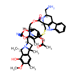 COc1c(C)cc2c(c1O)[C@H](C)N1[C@@H]([C@H](C#N)N3C[C@@H]4SC[C@]5(N[C@@H](CN)Cc6c5[nH]c5ccccc65)C(=O)OC[C@H]3c3c5c(c(C)c(OC(C)=O)c34)OCO5)CC21C